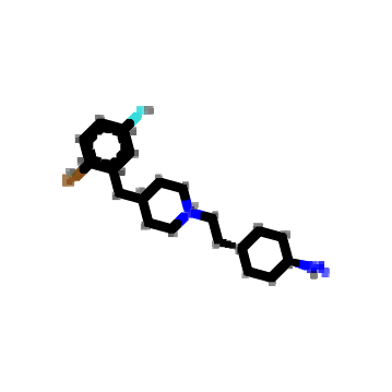 N[C@H]1CC[C@H](CCN2CCC(Cc3cc(F)ccc3Br)CC2)CC1